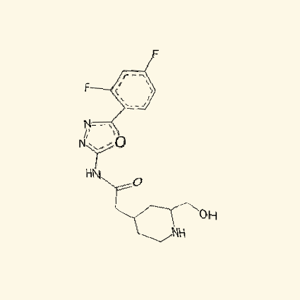 O=C(CC1CCNC(CO)C1)Nc1nnc(-c2ccc(F)cc2F)o1